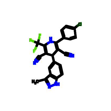 Cc1n[nH]c2ccc(C3C(C#N)=C(c4ccc(Cl)cc4)NC(C(F)(F)F)=C3C#N)cc12